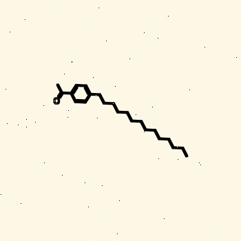 CCCCCCCCCCCCCCc1ccc(C(C)=O)cc1